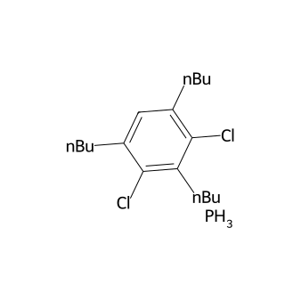 CCCCc1cc(CCCC)c(Cl)c(CCCC)c1Cl.P